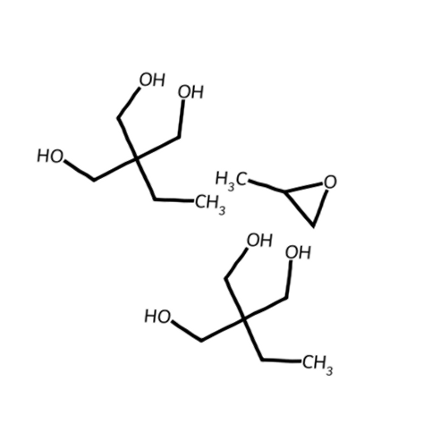 CC1CO1.CCC(CO)(CO)CO.CCC(CO)(CO)CO